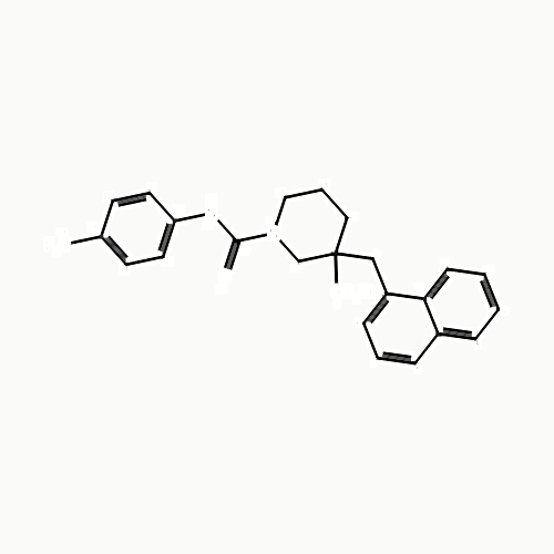 CCOC(=O)C1(Cc2cccc3ccccc23)CCCN(C(=O)Nc2ccc(C(F)(F)F)cc2)C1